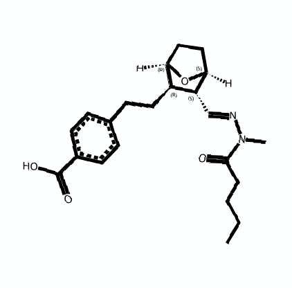 CCCCC(=O)N(C)N=C[C@@H]1[C@@H](CCc2ccc(C(=O)O)cc2)[C@H]2CC[C@@H]1O2